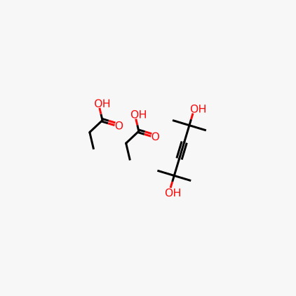 CC(C)(O)C#CC(C)(C)O.CCC(=O)O.CCC(=O)O